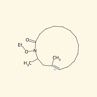 CCON1C(=O)CCCCCCCCCC/C=C(\C)CC1C